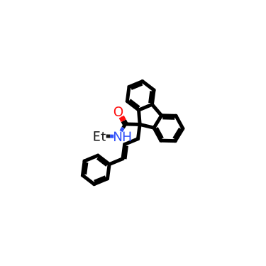 CCNC(=O)C1(CC=Cc2ccccc2)c2ccccc2-c2ccccc21